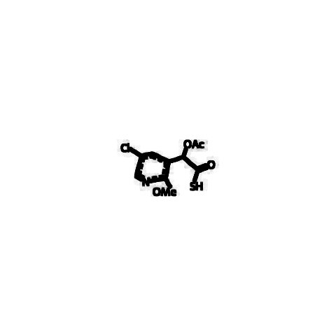 COc1ncc(Cl)cc1C(OC(C)=O)C(=O)S